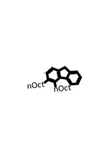 CCCCCCCCc1[c][c]c2c(c1CCCCCCCC)-c1ccccc1C2